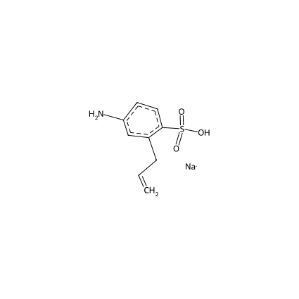 C=CCc1cc(N)ccc1S(=O)(=O)O.[Na]